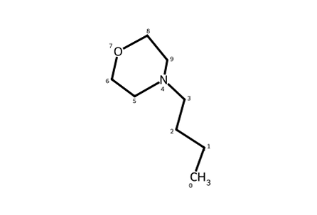 C[CH]CCN1CCOCC1